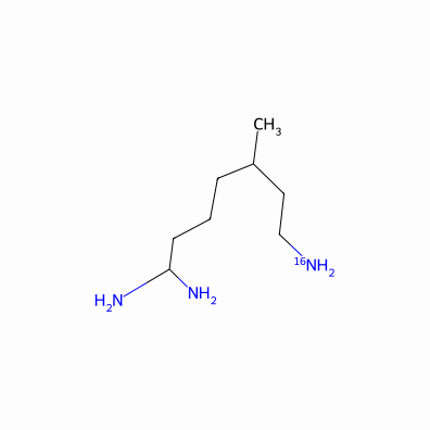 CC(CC[16NH2])CCCC(N)N